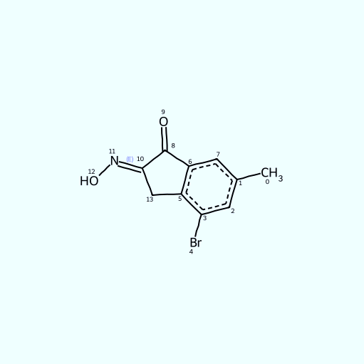 Cc1cc(Br)c2c(c1)C(=O)/C(=N/O)C2